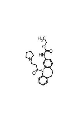 CCOC(=O)Nc1ccc2c(c1)N(C(=O)CCN1CCCC1)c1ccccc1CC2